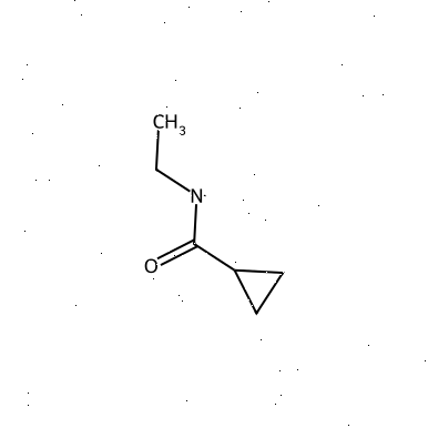 CC[N]C(=O)C1CC1